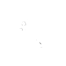 CCCCCCCCC#CCCCCCCCCOS(=O)(=O)c1ccc(C)cc1